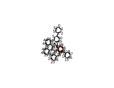 c1ccc(-c2ccc(N(c3ccc(-c4ccccc4)c4c3C3c5ccccc5C4c4ccccc43)c3cc4ccccc4c4ccccc34)cc2)cc1